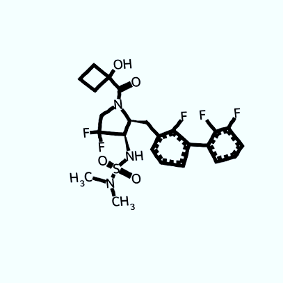 CN(C)S(=O)(=O)N[C@@H]1[C@H](Cc2cccc(-c3cccc(F)c3F)c2F)N(C(=O)C2(O)CCC2)CC1(F)F